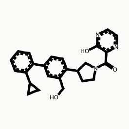 O=C(c1nccnc1O)N1CCC(c2ccc(-c3ccccc3C3CC3)cc2CO)C1